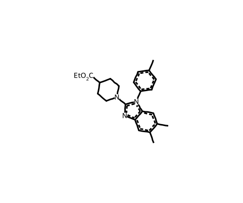 CCOC(=O)C1CCN(c2nc3cc(C)c(C)cc3n2-c2ccc(C)cc2)CC1